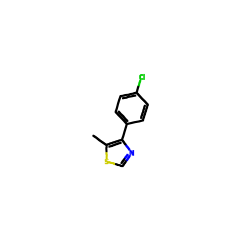 Cc1scnc1-c1ccc(Cl)cc1